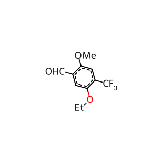 CCOc1cc(C=O)c(OC)cc1C(F)(F)F